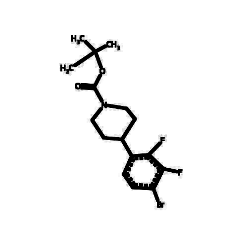 CC(C)(C)OC(=O)N1CCC(c2ccc(Br)c(F)c2F)CC1